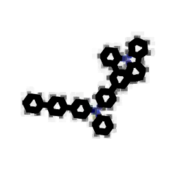 c1ccc(-c2ccc(-c3ccc(N(c4ccccc4)c4ccc(-c5cccc(-c6ccccc6-n6c7ccccc7c7ccccc76)c5)cc4)cc3)cc2)cc1